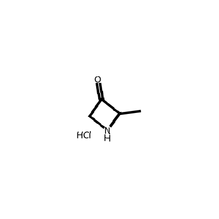 CC1NCC1=O.Cl